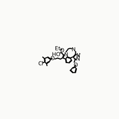 CCOC(O)c1c(CCCOc2cc(C)c(Cl)c(C)c2)c2cccc3c2n1CCCN(C)Cc1c-3c(COc2ccccc2)nn1C